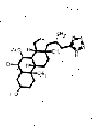 CC[C@@H]1C2C[C@H](O)CC[C@@]2(C)[C@H]2CCC3(C)[C@@H]([C@H](C)Cc4nnn[nH]4)CC[C@H]3C2[C@@H]1OC(C)=O